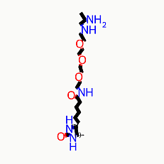 CC(N)CNCCOCCOCCOCCNC(=O)CCCCC[C@H]1NC(=O)N[C@H]1C